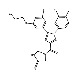 O=C1CN(C(=O)c2cc(-c3cc(F)cc(OCCCl)c3)n(-c3ccc(F)c(Cl)c3)n2)CN1